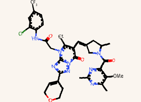 CCc1c(C=C2CC(C)N(C(=O)c3nc(C)nc(C)c3OC)C2)c(=O)n2nc(C3=CCOCC3)nc2n1CC(=O)Nc1ccc(C(F)(F)F)cc1Cl